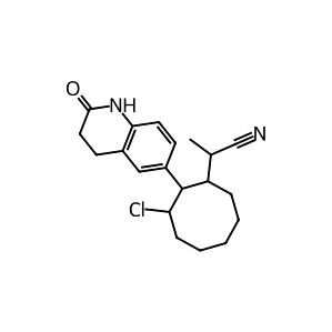 CC(C#N)C1CCCCCC(Cl)C1c1ccc2c(c1)CCC(=O)N2